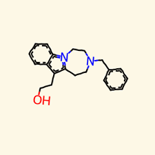 OCCc1c2n(c3ccccc13)CCN(Cc1ccccc1)CC2